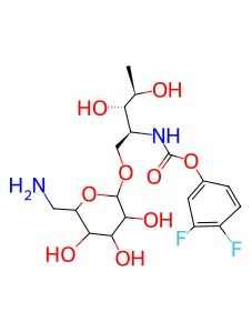 C[C@@H](O)[C@@H](O)[C@H](COC1OC(CN)C(O)C(O)C1O)NC(=O)Oc1ccc(F)c(F)c1